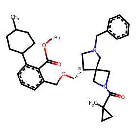 CC(C)(C)OC(=O)c1c(COC[C@@H]2CN(Cc3ccccc3)CC23CN(C(=O)C2(C(F)(F)F)CC2)C3)cccc1C1CCC(C(F)(F)F)CC1